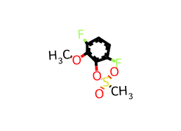 COc1c(F)ccc(F)c1OS(C)(=O)=O